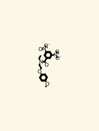 CCN(CCOc1ccc(OC)cc1)C(=O)c1cc([N+](=O)[O-])cc([N+](=O)[O-])c1